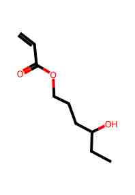 C=CC(=O)OCCCC(O)CC